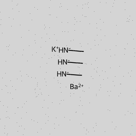 C[NH-].C[NH-].C[NH-].[Ba+2].[K+]